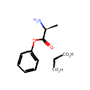 C[C@H](N)C(=O)Oc1ccccc1.O=C(O)CC(=O)O